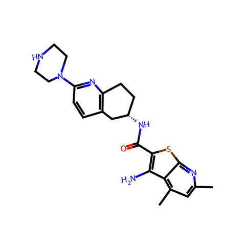 Cc1cc(C)c2c(N)c(C(=O)N[C@H]3CCc4nc(N5CCNCC5)ccc4C3)sc2n1